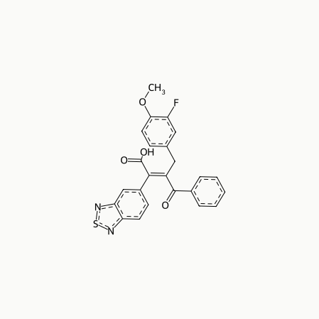 COc1ccc(CC(C(=O)c2ccccc2)=C(C(=O)O)c2ccc3nsnc3c2)cc1F